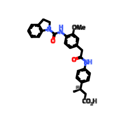 COc1cc(CC(=O)Nc2ccc([C@H](C)CC(=O)O)cc2)ccc1NC(=O)N1CCc2ccccc21